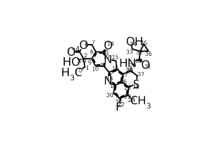 CC[C@@]1(O)C(=O)OCc2c1cc1n(c2=O)Cc2c-1nc1cc(F)c(C)c3c1c2[C@H](NC(=O)C1(CO)CC1)CS3